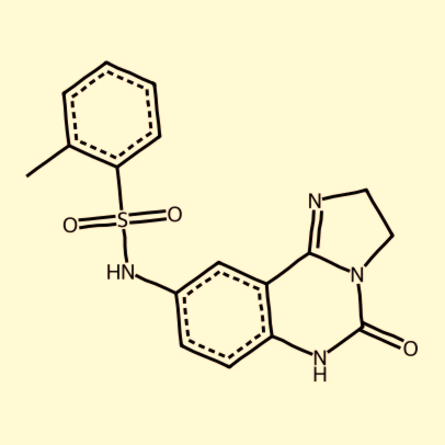 Cc1ccccc1S(=O)(=O)Nc1ccc2c(c1)C1=NCCN1C(=O)N2